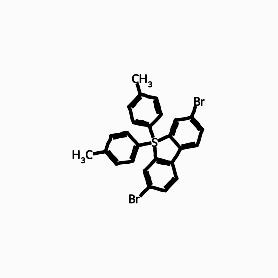 Cc1ccc(S2(c3ccc(C)cc3)c3cc(Br)ccc3-c3ccc(Br)cc32)cc1